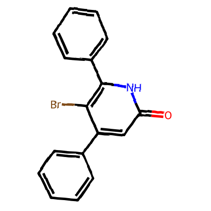 O=c1cc(-c2ccccc2)c(Br)c(-c2ccccc2)[nH]1